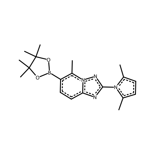 Cc1ccc(C)n1-c1nc2ccc(B3OC(C)(C)C(C)(C)O3)c(C)n2n1